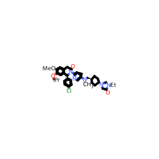 CCN1CN([C@H]2CC[C@H](CN(C)c3ccc(N4C(=O)Cc5cc(OC)c(OC(C)C)cc5[C@@H]4c4ccc(Cl)cc4)nc3)CC2)CC1=O